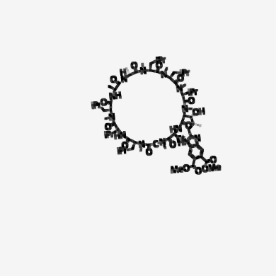 CC[C@@H]1NC(=O)[C@H]([C@H](O)[C@H](C)Cc2nc3cc(C(=O)OC)c(C(=O)OC)cc3[nH]2)N(C)C(=O)[C@H](C(C)C)N(C)C(=O)[C@H](CC(C)C)N(C)C(=O)[C@H](CC(C)C)N(C)C(=O)[C@@H](C)NC(=O)[C@H](C)NC(=O)[C@H](CC(C)C)N(C)C(=O)[C@H](C(C)C)NC(=O)[C@H](CC(C)C)N(C)C(=O)CN(C)C1=O